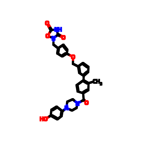 Cc1cc(C(=O)N2CCN(c3ccc(O)cc3)CC2)ccc1-c1cccc(COc2ccc(Cn3oc(=O)[nH]c3=O)cc2)c1